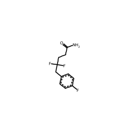 NC(=O)CCC(F)(F)Cc1ccc(F)cc1